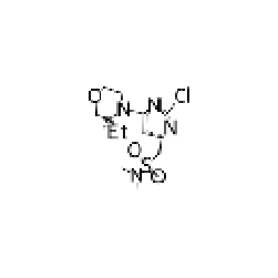 CC[C@H]1COCCN1c1cc(CS(=O)(=O)N(C)C)nc(Cl)n1